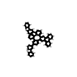 c1ccc2c(c1)-c1cc(-c3ccc4sc5ccccc5c4c3)ccc1-c1cc3c4ccccc4c4ccccc4c3cc1-c1cccc(-c3ccc4sc5ccccc5c4c3)c1-2